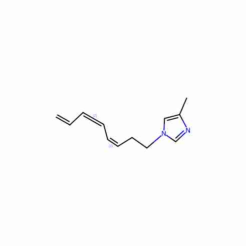 C=C/C=C\C=C/CCn1cnc(C)c1